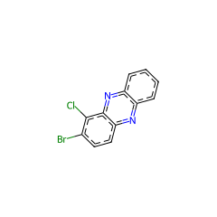 Clc1c(Br)ccc2nc3ccccc3nc12